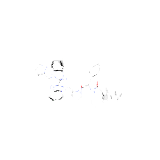 CN[C@H](C)C(=O)NC(C(=O)N1CCCC1Cn1c(-c2nc3cc(F)ccc3n2CC2CCCN2C=O)nc2cc(F)ccc21)C1CCCCC1